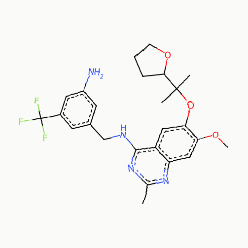 COc1cc2nc(C)nc(NCc3cc(N)cc(C(F)(F)F)c3)c2cc1OC(C)(C)C1CCCO1